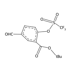 CC(C)(C)OC(=O)c1cc(C=O)ccc1OS(=O)(=O)C(F)(F)F